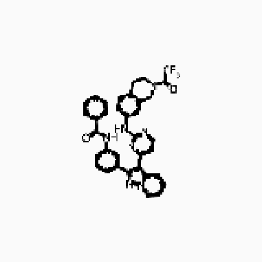 O=C(Nc1cccc(-c2nn3ccccc3c2-c2ccnc(Nc3ccc4c(c3)CN(C(=O)C(F)(F)F)CC4)n2)c1)c1ccccc1